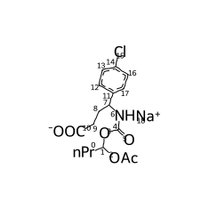 CCCC(OC(C)=O)OC(=O)NC(CCC(=O)[O-])c1ccc(Cl)cc1.[Na+]